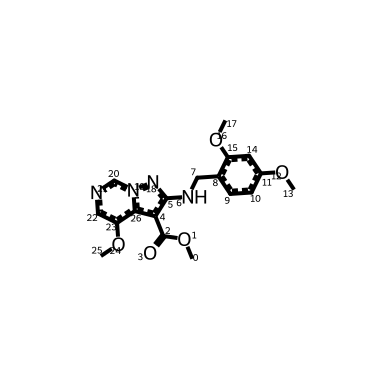 COC(=O)c1c(NCc2ccc(OC)cc2OC)nn2cncc(OC)c12